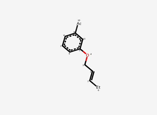 CCC=CCOc1cccc(C(C)=O)c1